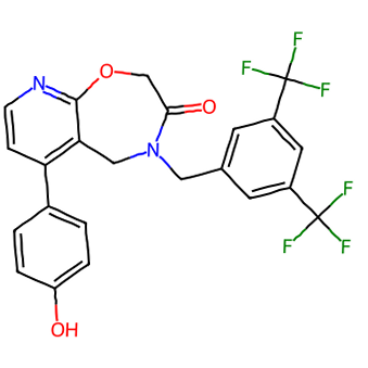 O=C1COc2nccc(-c3ccc(O)cc3)c2CN1Cc1cc(C(F)(F)F)cc(C(F)(F)F)c1